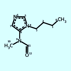 CCCCn1cncc1N(C)C=O